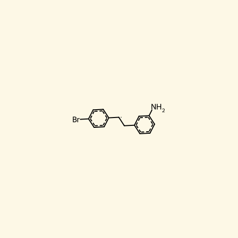 Nc1cccc(C[CH]c2ccc(Br)cc2)c1